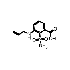 C=CCNc1cccc(C(=O)O)c1S(N)(=O)=O